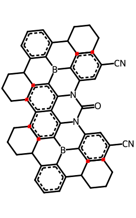 N#Cc1ccc2c(c1)N1C(=O)N3c4cc(C#N)ccc4B(c4c(C5CCCCC5)cccc4C4CCCCC4)c4ccc5ccc(c1c5c43)B2c1c(C2CCCCC2)cccc1C1CCCCC1